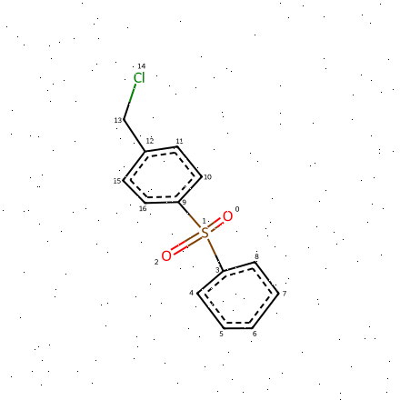 O=S(=O)(c1ccccc1)c1ccc(CCl)cc1